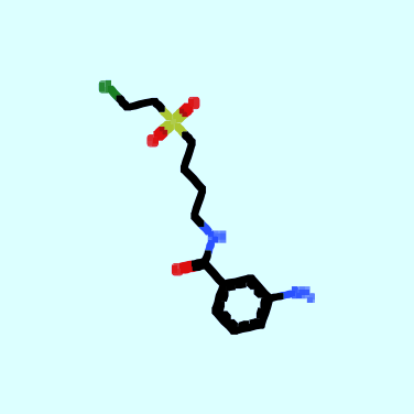 Nc1cccc(C(=O)NCCCCS(=O)(=O)CCCl)c1